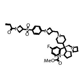 C=CC(=O)N1CC(S(=O)(=O)c2ccc(N3CC(CN4CCC([C@@](CN5CCC5)(c5cccc(F)c5)[C@H]5CCC[C@@H]5NC(=O)OC)CC4)C3)cc2)C1